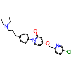 CCN(CC)CCCc1ccc(-n2ccc(OCc3ccc(Cl)cn3)cc2=O)cc1